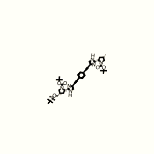 C[C@H]1C[C@@H](c2nc(C#Cc3ccc(C#Cc4c[nH]c([C@@H]5C[C@H](CO[Si](C)(C)C(C)(C)C)CN5C(=O)OC(C)(C)C)n4)cc3)c[nH]2)N(C(=O)OC(C)(C)C)C1